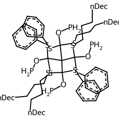 CCCCCCCCCCCCCSC(OP)(Sc1ccccc1)C(C(OP)(SCCCCCCCCCCCCC)Sc1ccccc1)(C(OP)(SCCCCCCCCCCCCC)Sc1ccccc1)C(OP)(SCCCCCCCCCCCCC)Sc1ccccc1